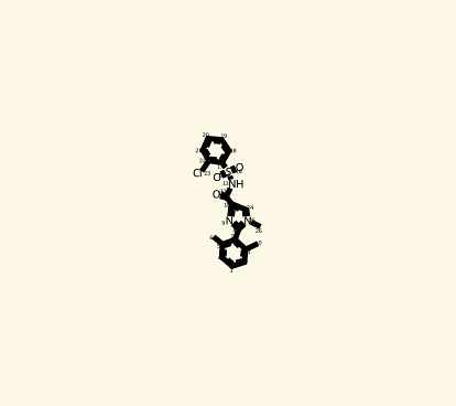 Cc1cccc(C)c1-c1nc(C(=O)NS(=O)(=O)c2ccccc2Cl)cn1C